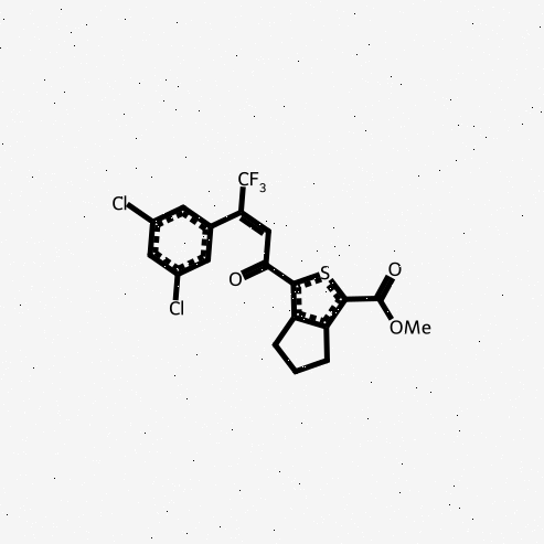 COC(=O)c1sc(C(=O)/C=C(\c2cc(Cl)cc(Cl)c2)C(F)(F)F)c2c1CCC2